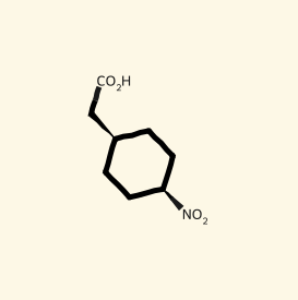 O=C(O)C[C@H]1CC[C@@H]([N+](=O)[O-])CC1